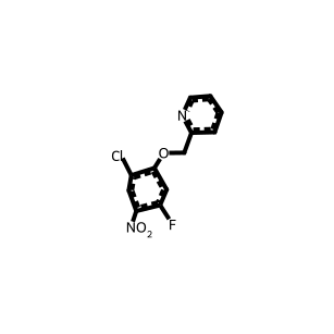 O=[N+]([O-])c1cc(Cl)c(OCc2ccccn2)cc1F